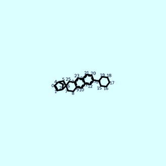 C1=CC2CC1CC21CCc2cc3cc(C4CCCCC4)ccc3cc2C1